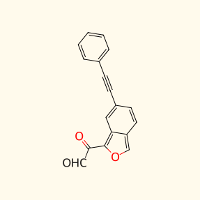 O=CC(=O)c1occ2ccc(C#Cc3ccccc3)cc12